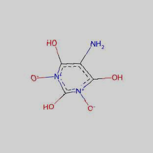 Nc1c(O)[n+]([O-])c(O)[n+]([O-])c1O